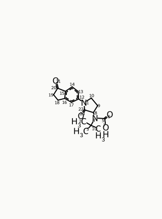 CC(C)(C)N(C(=O)O)C1CCN(c2ccc3c(c2)CCC3=O)C1=O